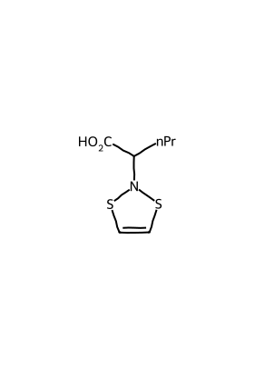 CCCC(C(=O)O)N1SC=CS1